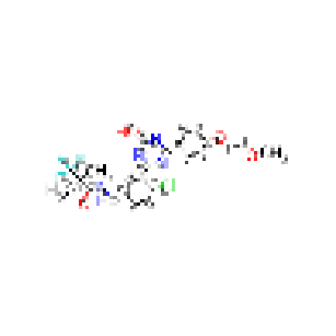 COCCOc1ccc(-c2nc(O)nc(-c3cc(CNC(=O)C(C)(C)C(F)(F)F)ccc3Cl)n2)cc1